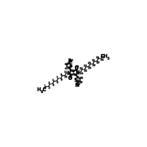 CCCCCCCCCCCCN1C(=O)C2=C(c3ccc(Br)s3)N(CCCCCCCCCCCC)C(=O)C2=C1c1ccc(Br)s1